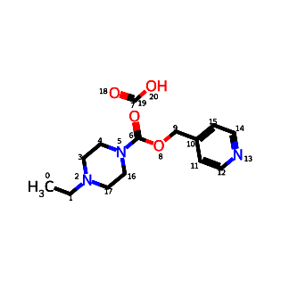 CCN1CCN(C(=O)OCc2ccncc2)CC1.O=CO